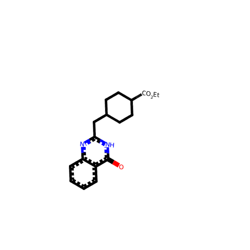 CCOC(=O)C1CCC(Cc2nc3ccccc3c(=O)[nH]2)CC1